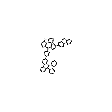 c1ccc(-c2c(-c3ccccc3)c3cc(-c4ccc(N(c5ccc(-c6ccc7c(ccc8ccccc87)c6)cc5)c5cccc6sc7ccccc7c56)cc4)ccc3c3ccccc23)cc1